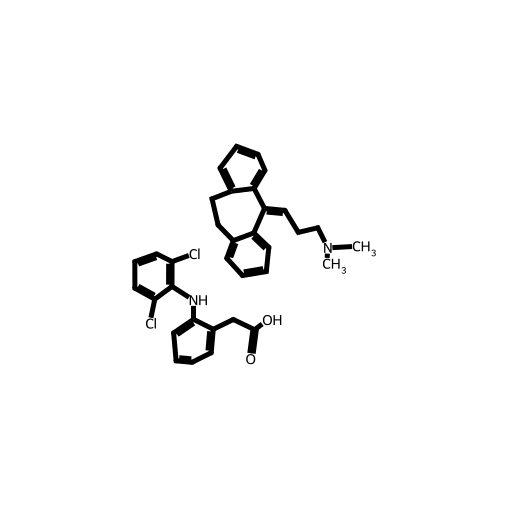 CN(C)CCC=C1c2ccccc2CCc2ccccc21.O=C(O)Cc1ccccc1Nc1c(Cl)cccc1Cl